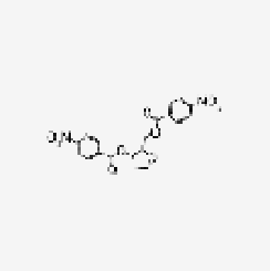 O=C(OCC1OCCC1OC(=O)c1ccc([N+](=O)[O-])cc1)c1ccc([N+](=O)[O-])cc1